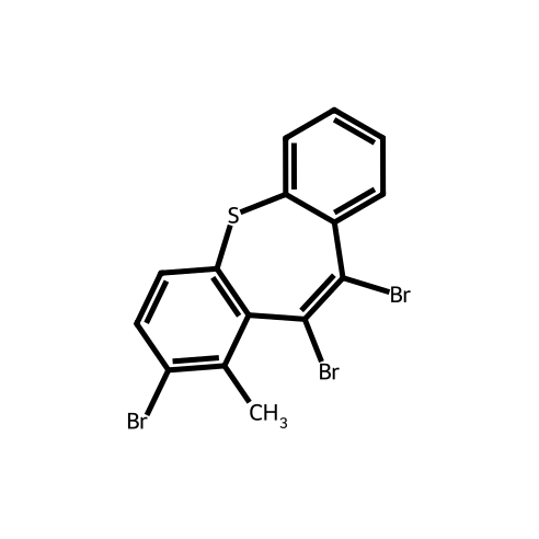 Cc1c(Br)ccc2c1C(Br)=C(Br)c1ccccc1S2